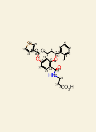 Cc1ccccc1[C@H](CCC(=O)O)Oc1cc(OCc2ccsc2)ccc1C(=O)NCCC(=O)O